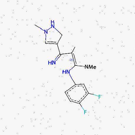 CN/C(Nc1ccc(F)c(F)c1)=C(\C)C(=N)C1=CN(C)NC1